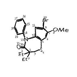 CCC1(CC)CSc2cc(OC)c(Br)cc2N(c2ccccc2)C1=O